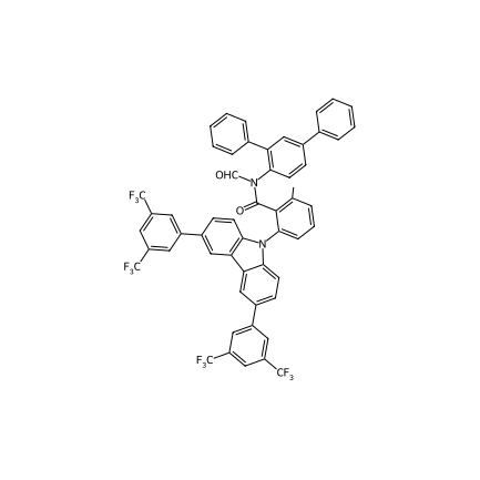 Cc1cccc(-n2c3ccc(-c4cc(C(F)(F)F)cc(C(F)(F)F)c4)cc3c3cc(-c4cc(C(F)(F)F)cc(C(F)(F)F)c4)ccc32)c1C(=O)N(C=O)c1ccc(-c2ccccc2)cc1-c1ccccc1